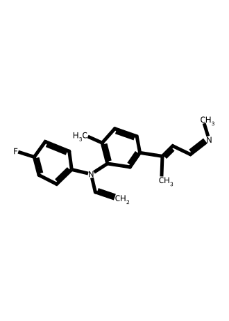 C=CN(c1ccc(F)cc1)c1cc(/C(C)=C/C=N\C)ccc1C